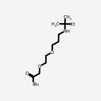 CCC(C)C(=O)COCCOCCCNC(C)(C)CC